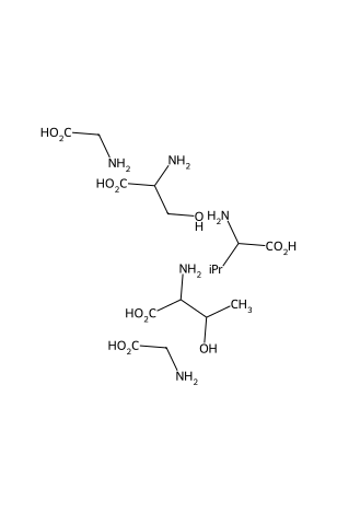 CC(C)C(N)C(=O)O.CC(O)C(N)C(=O)O.NC(CO)C(=O)O.NCC(=O)O.NCC(=O)O